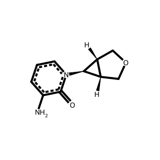 Nc1cccn([C@H]2[C@@H]3COC[C@@H]32)c1=O